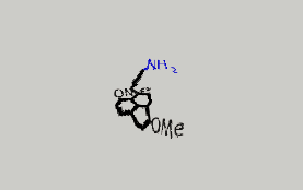 COc1ccc2ccc(OC)c3c2c1CCC3CCCN